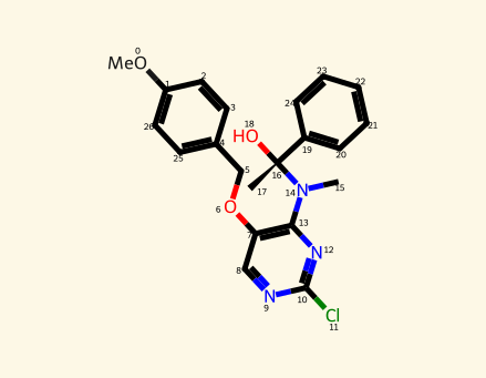 COc1ccc(COc2cnc(Cl)nc2N(C)[C@](C)(O)c2ccccc2)cc1